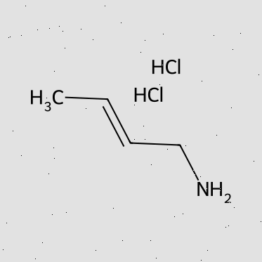 CC=CCN.Cl.Cl